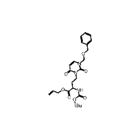 C=CCOC(=O)C(CCn1c(=O)ccn(COCc2ccccc2)c1=O)NC(=O)OC(C)(C)C